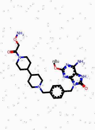 CCCCOc1nc(N)c2[nH]c(=O)n(Cc3ccc(CN4CCC(C5CCN(C(=O)CON)CC5)CC4)cc3)c2n1